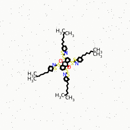 CC(C)CCCCCc1ccc2nc(Sc3ccc(Sc4nc5ccc(CCCCCC(C)C)cc5s4)c4c3C(=O)c3c(Sc5nc6ccc(CCCCCC(C)C)cc6s5)ccc(Sc5nc6ccc(CCCCCC(C)C)cc6s5)c3C4=O)sc2c1